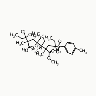 CCC(C)(Cl)C(C)(CC(C)(CC)C(C)(CC)C(C)(CC(C)(CC)S(=O)(=O)c1ccc(C)cc1)C(=O)OC)C(=O)O